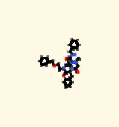 CCN1CC(=O)N2[C@@H](Cc3ccccc3)C(=O)N(CCOCc3ccccc3)C[C@@H]2N1C(=O)NCc1ccccc1